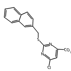 CCOC(=O)c1cc(Cl)nc(SCc2ccc3ccccc3c2)n1